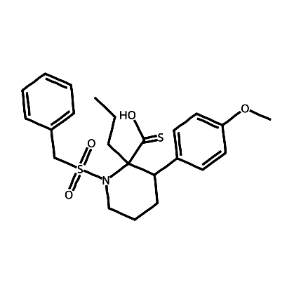 CCCC1(C(O)=S)C(c2ccc(OC)cc2)CCCN1S(=O)(=O)Cc1ccccc1